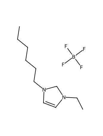 CCCCCCN1C=CN(CC)C1.F[B-](F)(F)F